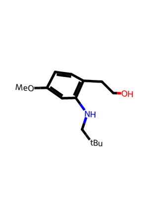 COc1ccc(CCO)c(NCC(C)(C)C)c1